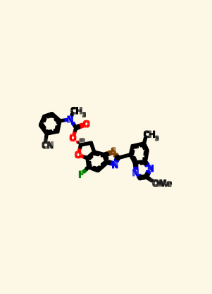 COc1cnc2c(-c3nc4cc(F)c5c(c4s3)C[C@@H](OC(=O)N(C)c3cccc(C#N)c3)O5)cc(C)cc2n1